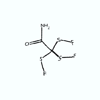 NC(=O)C(SF)(SF)SF